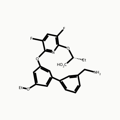 CCOc1cc(Oc2nc(O[C@H](CC)C(=O)O)c(F)cc2F)cc(-c2cccc(CN)c2)c1